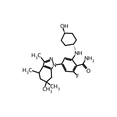 Cc1nn(-c2cc(F)c(C(N)=O)c(N[C@H]3CC[C@H](O)CC3)c2)c2c1C(C)CC(C)(C)C2